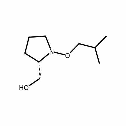 CC(C)CON1CCC[C@H]1CO